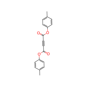 Cc1ccc(OC(=O)C#CC(=O)Oc2ccc(C)cc2)cc1